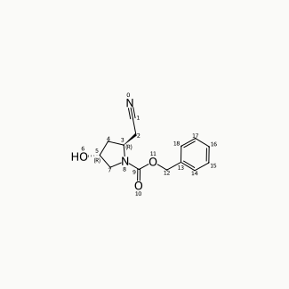 N#CC[C@@H]1C[C@@H](O)CN1C(=O)OCc1ccccc1